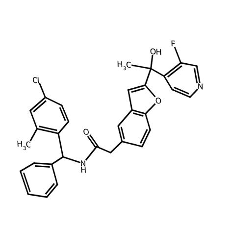 Cc1cc(Cl)ccc1C(NC(=O)Cc1ccc2oc(C(C)(O)c3ccncc3F)cc2c1)c1ccccc1